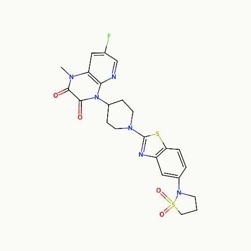 Cn1c(=O)c(=O)n(C2CCN(c3nc4cc(N5CCCS5(=O)=O)ccc4s3)CC2)c2ncc(F)cc21